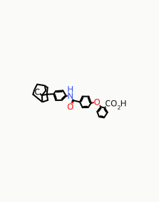 O=C(Nc1ccc(C23CC4CC5CC(C2)C3(C5)C4)cc1)c1ccc(Oc2ccccc2C(=O)O)cc1